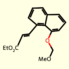 CCOC(=O)C=Cc1cccc2cccc(OCOC)c12